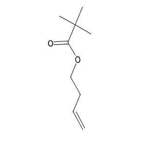 C=CCCOC(=O)C(C)(C)C